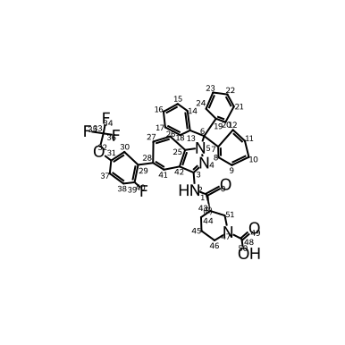 O=C(Nc1nn(C(c2ccccc2)(c2ccccc2)c2ccccc2)c2ccc(-c3cc(OC(F)(F)F)ccc3F)cc12)[C@@H]1CCCN(C(=O)O)C1